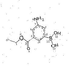 CCOC(=O)c1cc(N)cc(B(O)O)c1